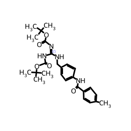 Cc1ccc(C(=O)Nc2ccc(CN/C(=N/C(=O)OC(C)(C)C)NC(=O)OC(C)(C)C)cc2)cc1